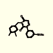 CC(=O)Nc1cccc(-n2ncc(=O)n(Cc3ccc(C)c(C)c3)c2=O)c1